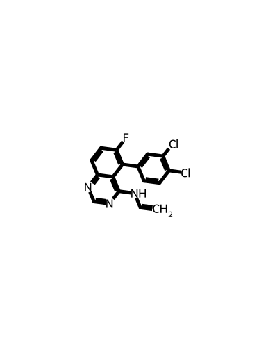 C=CNc1ncnc2ccc(F)c(-c3ccc(Cl)c(Cl)c3)c12